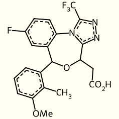 COc1cccc(C2OC(CC(=O)O)c3nnc(C(F)(F)F)n3-c3ccc(F)cc32)c1C